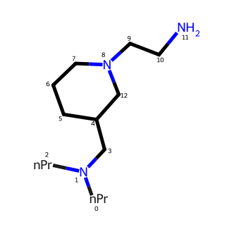 CCCN(CCC)CC1CCCN(CCN)C1